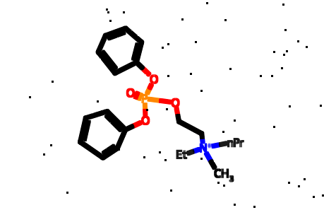 CCC[N+](C)(CC)CCOP(=O)(Oc1ccccc1)Oc1ccccc1